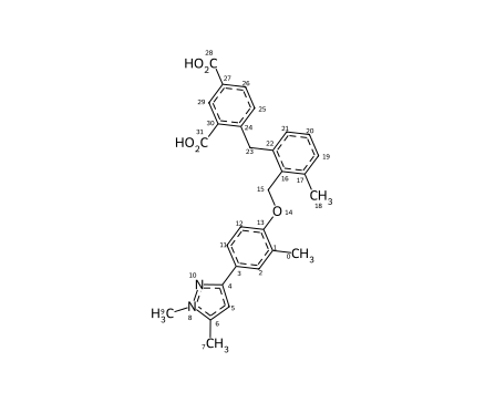 Cc1cc(-c2cc(C)n(C)n2)ccc1OCc1c(C)cccc1Cc1ccc(C(=O)O)cc1C(=O)O